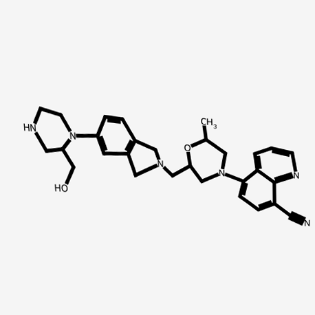 CC1CN(c2ccc(C#N)c3ncccc23)CC(CN2Cc3ccc(N4CCNCC4CO)cc3C2)O1